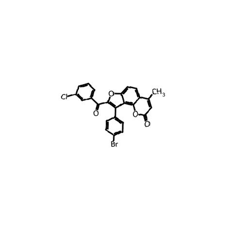 Cc1cc(=O)oc2c1ccc1oc(C(=O)c3cccc(Cl)c3)c(-c3ccc(Br)cc3)c12